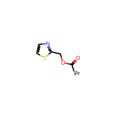 CC(C)C(=O)OCc1nccs1